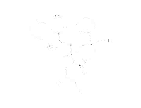 CCN1CCC(C(=O)O)(c2ccccc2)CC1C1(c2ccc(Cl)c(Cl)c2)CCN(C(=O)c2c(OC)cccc2OC)C1